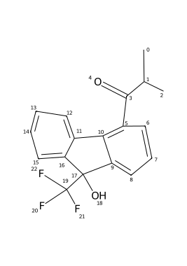 CC(C)C(=O)c1cccc2c1-c1ccccc1C2(O)C(F)(F)F